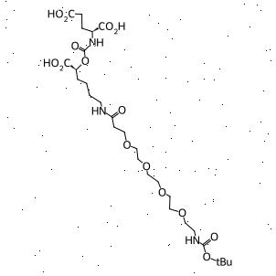 CC(C)(C)OC(=O)NCCOCCOCCOCCOCCC(=O)NCCCC[C@H](OC(=O)N[C@@H](CCC(=O)O)C(=O)O)C(=O)O